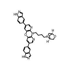 c1cc2[nH]ncc2cc1-c1cnc2c(c1)Oc1cc(-c3ccc4[nH]ncc4c3)cnc1N2CCCCN1C[C@@H]2C[C@H]1CO2